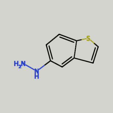 NNc1ccc2sccc2c1